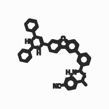 CC(SC(N)c1cccc(-c2ccc3oc4c(c3c2)=CCC(C2=CC(C3=CC=CCC3)NC(C3=CCCC=C3)N2)C=4)c1)c1ccc(C#N)cc1